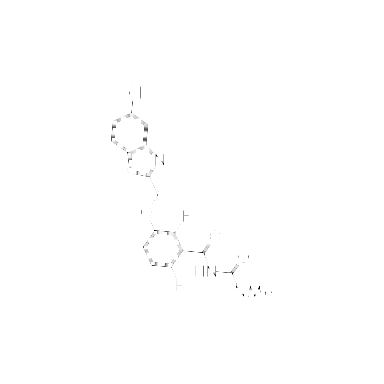 CNC(=O)NC(=O)c1c(F)ccc(OCc2nc3cc(Cl)ccc3s2)c1F